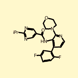 CC(C)c1ncc(C(=O)Nc2c(-c3cc(F)ccc3F)ccnc2N2CCOCC2)cn1